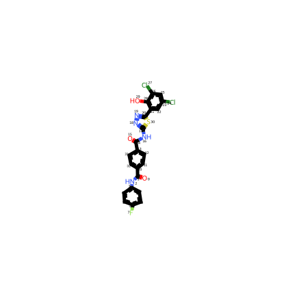 O=C(Nc1ccc(F)cc1)c1ccc(C(=O)Nc2nnc(-c3cc(Cl)cc(Cl)c3O)s2)cc1